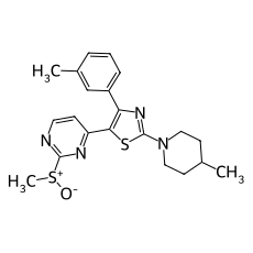 Cc1cccc(-c2nc(N3CCC(C)CC3)sc2-c2ccnc([S+](C)[O-])n2)c1